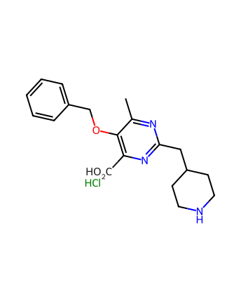 Cc1nc(CC2CCNCC2)nc(C(=O)O)c1OCc1ccccc1.Cl